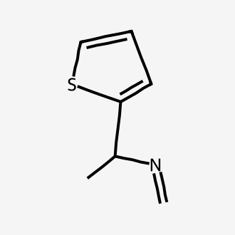 C=NC(C)c1cccs1